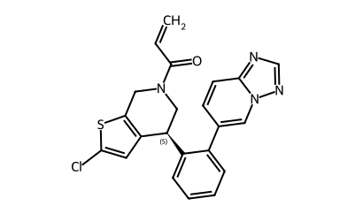 C=CC(=O)N1Cc2sc(Cl)cc2[C@H](c2ccccc2-c2ccc3ncnn3c2)C1